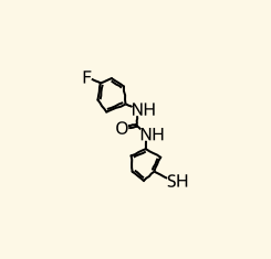 O=C(Nc1ccc(F)cc1)Nc1cccc(S)c1